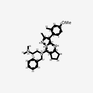 COc1ccc(-c2c(C)nn3c(N(CCN(C)C)Cc4ccccc4)c4c(nc23)CCC4)c(C)c1